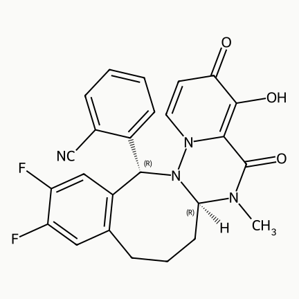 CN1C(=O)c2c(O)c(=O)ccn2N2[C@@H](c3ccccc3C#N)c3cc(F)c(F)cc3CCC[C@H]12